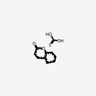 O=c1ccc2ccccc2o1.OC(O)=S